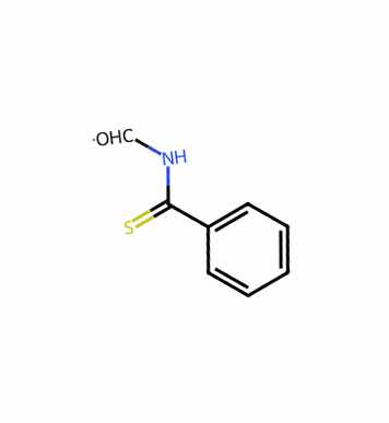 O=[C]NC(=S)c1ccccc1